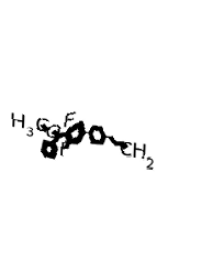 C=CCC[C@H]1CC[C@H](c2cc(F)c(C(OCC)c3ccccc3)c(F)c2)CC1